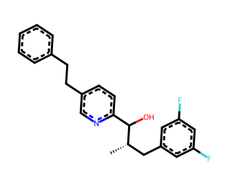 C[C@@H](Cc1cc(F)cc(F)c1)C(O)c1ccc(CCc2ccccc2)cn1